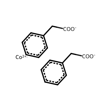 O=C([O-])Cc1ccccc1.O=C([O-])Cc1ccccc1.[Co+2]